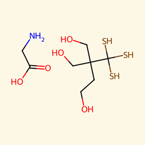 NCC(=O)O.OCCC(CO)(CO)C(S)(S)S